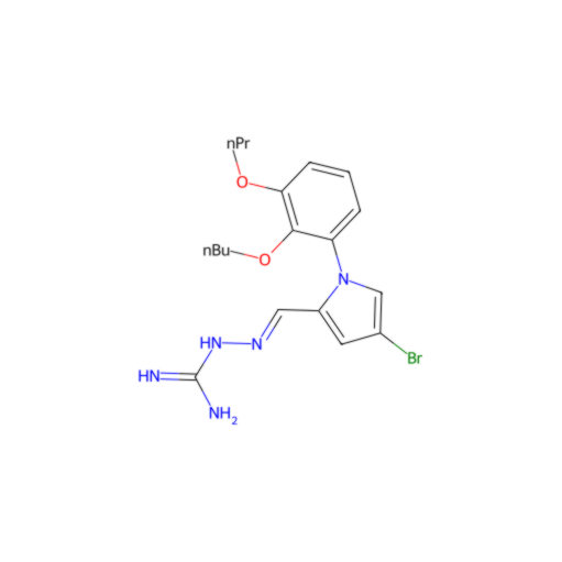 CCCCOc1c(OCCC)cccc1-n1cc(Br)cc1C=NNC(=N)N